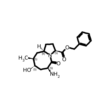 C[C@H]1C[C@H]2CC[C@@H](C(=O)OCc3ccccc3)N2C(=O)[C@@H](N)C[C@@H]1O